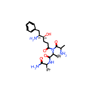 CC(N)C(=O)N(C(=O)CC[C@H](O)[C@@H](N)Cc1ccccc1)C(C(=O)NC(C(N)=O)C(C)C)C(C)C